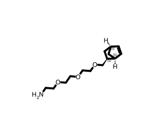 NCCOCCOCCOC[C@H]1C[C@H]2C=C[C@@H]1C2